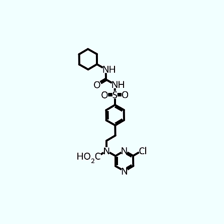 O=C(NC1CCCCC1)NS(=O)(=O)c1ccc(CCN(C(=O)O)c2cncc(Cl)n2)cc1